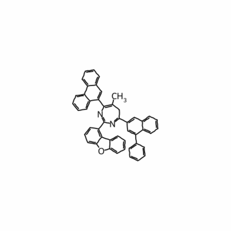 CC1=C(c2cc3ccccc3c3ccccc23)N=C(c2cccc3oc4ccccc4c23)N=C(c2cc(-c3ccccc3)c3ccccc3c2)C1